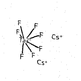 [Cs+].[Cs+].[F][Ta-2]([F])([F])([F])([F])([F])[F]